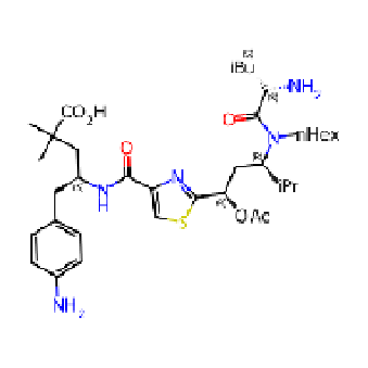 CCCCCCN(C(=O)[C@@H](N)[C@@H](C)CC)[C@H](C[C@@H](OC(C)=O)c1nc(C(=O)N[C@@H](Cc2ccc(N)cc2)CC(C)(C)C(=O)O)cs1)C(C)C